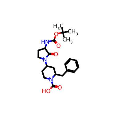 CC(C)(C)OC(=O)NC1CCN(C2CCN(C(=O)O)C(Cc3ccccc3)C2)C1=O